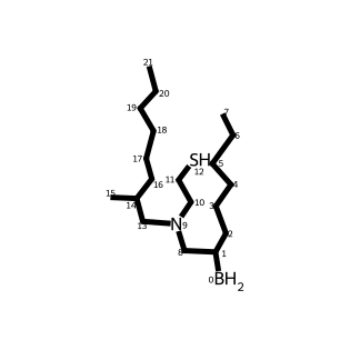 BC(CCCCCC)CN(CCS)CC(C)CCCCCC